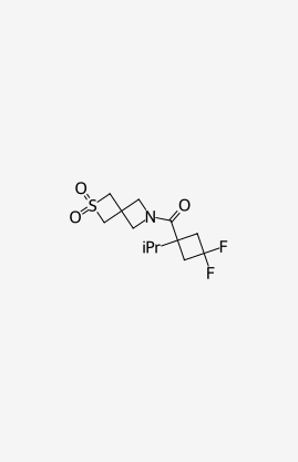 CC(C)C1(C(=O)N2CC3(C2)CS(=O)(=O)C3)CC(F)(F)C1